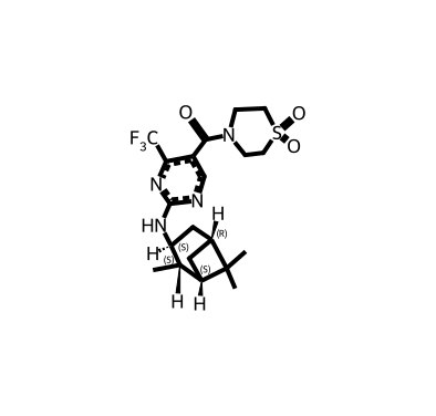 C[C@@H]1[C@@H](Nc2ncc(C(=O)N3CCS(=O)(=O)CC3)c(C(F)(F)F)n2)C[C@H]2C[C@@H]1C2(C)C